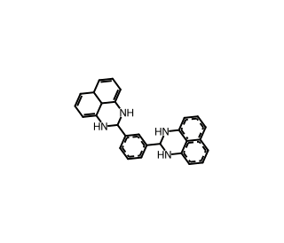 C1=CC2C=CC=C3NC(c4cccc(C5Nc6cccc7cccc(c67)N5)c4)NC(=C1)C32